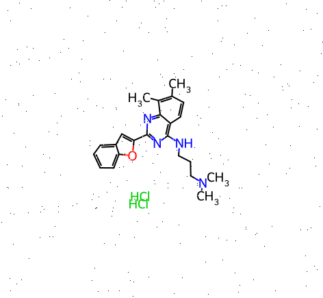 Cc1ccc2c(NCCCN(C)C)nc(-c3cc4ccccc4o3)nc2c1C.Cl.Cl